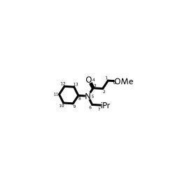 COCCC(=O)N(CC(C)C)C1CCCCC1